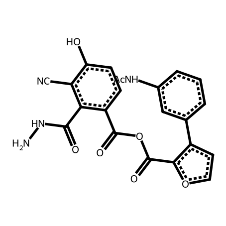 CC(=O)Nc1cccc(-c2ccoc2C(=O)OC(=O)c2ccc(O)c(C#N)c2C(=O)NN)c1